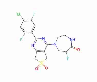 O=C1NCCN(c2nc(-c3cc(F)c(Cl)cc3F)nc3c2CS(=O)(=O)C3)CC1F